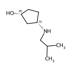 CC(C)CN[C@H]1CC[C@@H](O)C1